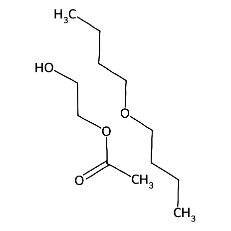 CC(=O)OCCO.CCCCOCCCC